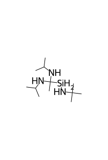 CC(C)NC(C)(NC(C)C)[SiH2]NC(C)(C)C